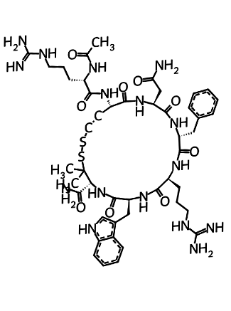 CC(=O)N[C@@H](CCCNC(=N)N)C(=O)N[C@H]1CCSSC(C)(C)[C@@H](C(N)=O)NC(=O)[C@H](Cc2c[nH]c3ccccc23)NC(=O)[C@H](CCCNC(=N)N)NC(=O)[C@@H](Cc2ccccc2)NC(=O)[C@H](CC(N)=O)NC1=O